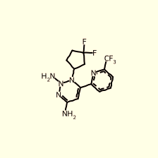 NC1=NN(N)N(C2CCC(F)(F)C2)C(c2cccc(C(F)(F)F)n2)=C1